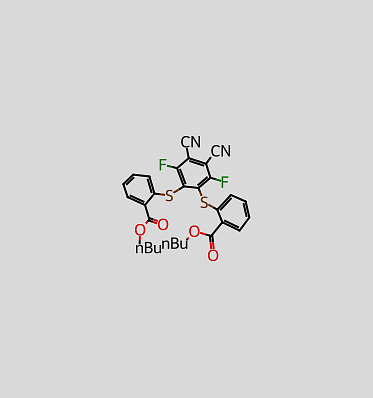 CCCCOC(=O)c1ccccc1Sc1c(F)c(C#N)c(C#N)c(F)c1Sc1ccccc1C(=O)OCCCC